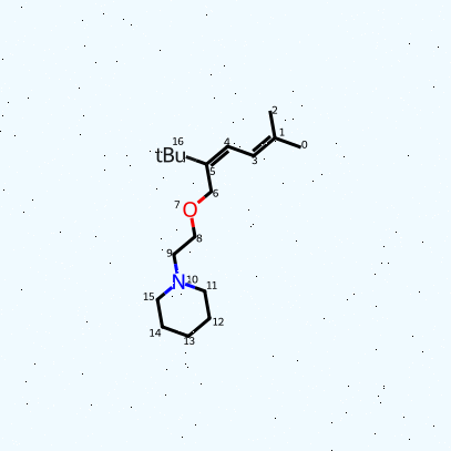 CC(C)=C/C=C(\COCCN1CCCCC1)C(C)(C)C